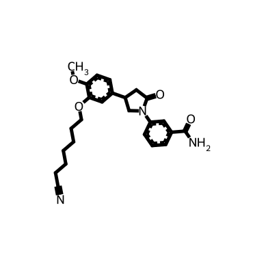 COc1ccc(C2CC(=O)N(c3cccc(C(N)=O)c3)C2)cc1OCCCCCCC#N